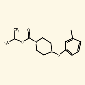 Cc1cccc(SN2CCN(C(=O)OC(C(F)(F)F)C(F)(F)F)CC2)c1